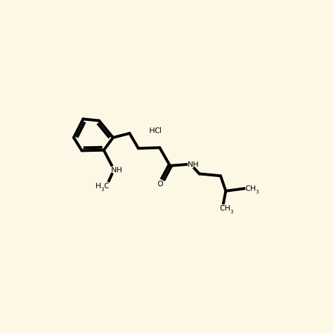 CNc1ccccc1CCCC(=O)NCCC(C)C.Cl